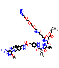 C=CCOC(=O)CC[C@H](NC(=O)CCCC(=O)NCCOCCOCCOCCN=[N+]=[N-])C(=O)N[C@H](C(=O)N[C@@H](C)C(=O)Nc1ccc(COC(=O)NCc2ccc(Cn3c(CCCC)nc4c(N)nnc(OC(C)C)c43)cc2)cc1)C(C)C